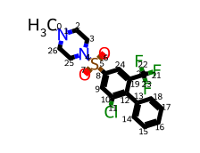 CN1CCN(S(=O)(=O)c2cc(Cl)c(-c3ccccc3)c(C(F)(F)F)c2)CC1